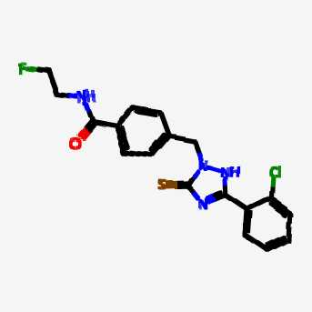 O=C(NCCF)c1ccc(Cn2[nH]c(-c3ccccc3Cl)nc2=S)cc1